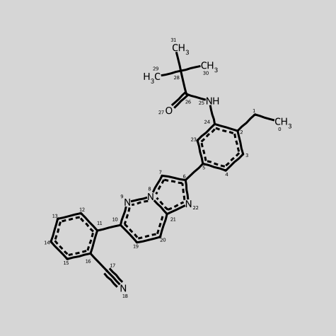 CCc1ccc(-c2cn3nc(-c4ccccc4C#N)ccc3n2)cc1NC(=O)C(C)(C)C